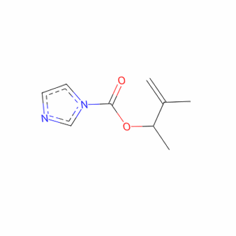 C=C(C)C(C)OC(=O)n1ccnc1